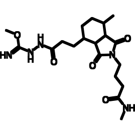 CNC(=O)CCCN1C(=O)C2C(C)CCC(CCC(=O)NNC(=N)OC)C2C1=O